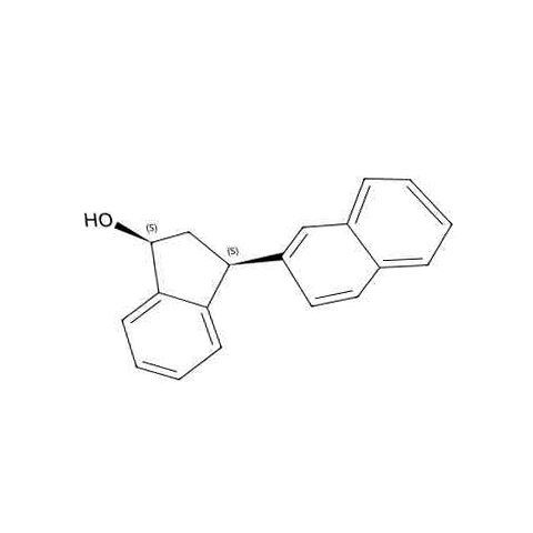 O[C@H]1C[C@@H](c2ccc3ccccc3c2)c2ccccc21